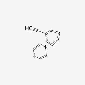 C#Cc1ccccc1.C1=C[I]C=C[I]1